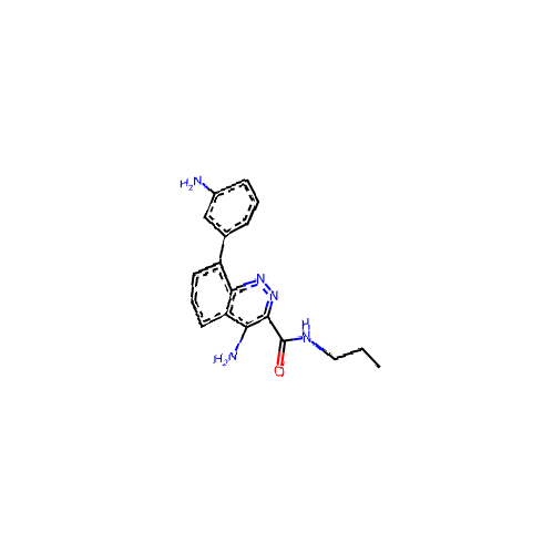 CCCNC(=O)c1nnc2c(-c3cccc(N)c3)cccc2c1N